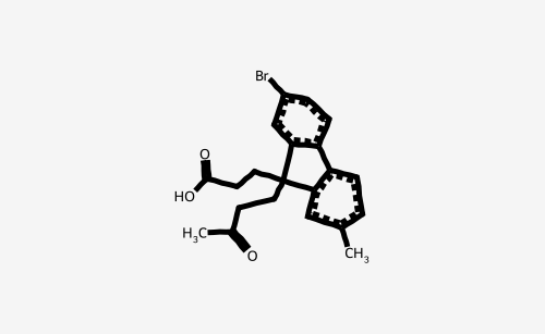 CC(=O)CCC1(CCC(=O)O)c2cc(C)ccc2-c2ccc(Br)cc21